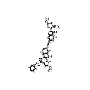 CCO[C@@H]1C[C@@H](c2nc3cc(C#Cc4ccc5nc([C@@H]6C[C@@H](OCC)CN6C(=O)OCc6ccccc6)[nH]c5c4)ccc3[nH]2)N(C(=O)O)C1